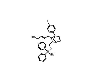 CC(C)(C)[Si](OCC1C2CC(c3ccc(F)cc3)(CO2)C1C/C=C/CO)(c1ccccc1)c1ccccc1